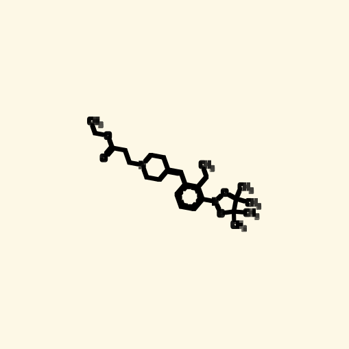 CCOC(=O)CCN1CCC(=Cc2cccc(B3OC(C)(C)C(C)(C)O3)c2CC)CC1